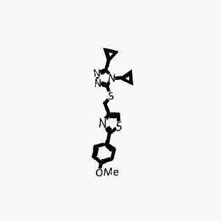 COc1ccc(-c2nc(CSc3nnc(C4CC4)n3C3CC3)cs2)cc1